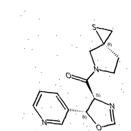 O=C([C@H]1N=CO[C@@H]1c1cccnc1)N1CC[C@]2(CS2)C1